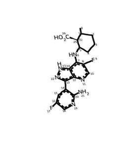 CC1CCCC(Nc2c(F)cnc3c(-c4cc(F)cnc4N)n[nH]c23)[C@H]1C(=O)O